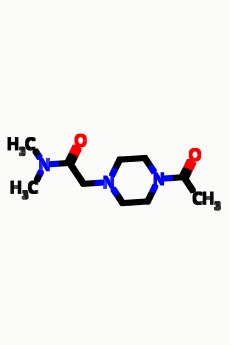 CC(=O)N1CCN(CC(=O)N(C)C)CC1